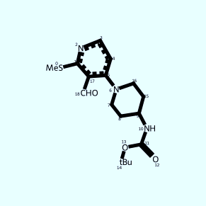 CSc1nccc(N2CCC(NC(=O)OC(C)(C)C)CC2)c1C=O